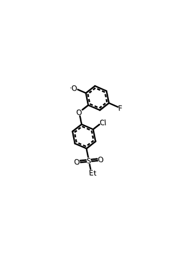 CCS(=O)(=O)c1ccc(Oc2cc(F)ccc2[O])c(Cl)c1